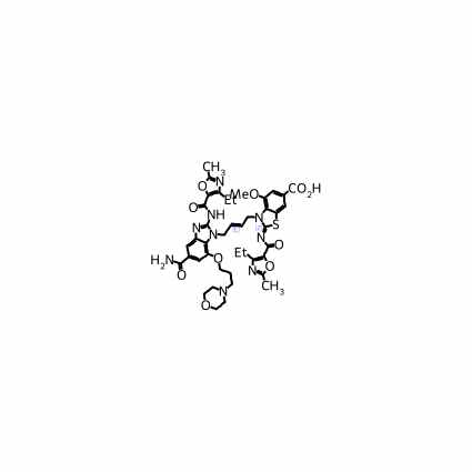 CCc1nc(C)oc1C(=O)/N=c1\sc2cc(C(=O)O)cc(OC)c2n1C/C=C/Cn1c(NC(=O)c2oc(C)nc2CC)nc2cc(C(N)=O)cc(OCCCN3CCOCC3)c21